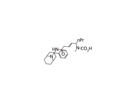 CCCC(C=CCC(=O)NC1CC2CCCC(C1)N2Cc1ccccc1)N(C)C(=O)O